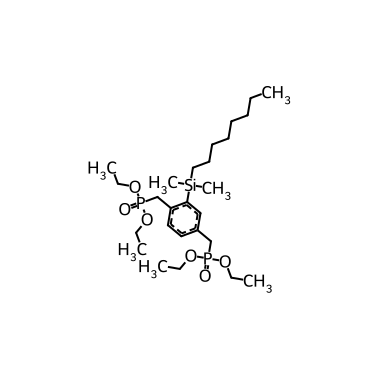 CCCCCCCC[Si](C)(C)c1cc(CP(=O)(OCC)OCC)ccc1CP(=O)(OCC)OCC